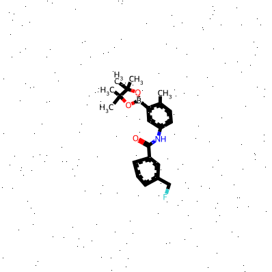 Cc1ccc(NC(=O)c2cccc(CF)c2)cc1B1OC(C)(C)C(C)(C)O1